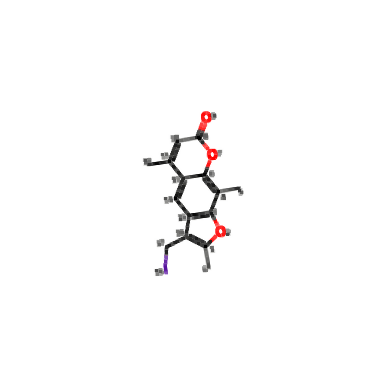 Cc1oc2c(C)c3oc(=O)cc(C)c3cc2c1CI